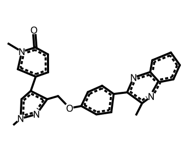 Cc1nc2ccccc2nc1-c1ccc(OCc2nn(C)cc2-c2ccc(=O)n(C)c2)cc1